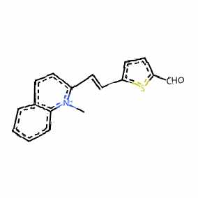 C[n+]1c(C=Cc2ccc(C=O)s2)ccc2ccccc21